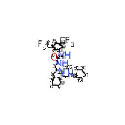 O=C(NCC(Cc1ccccc1)N1CCN(C2CCCCC2)CC1)Nc1cc(C(F)(F)F)cc(C(F)(F)F)c1